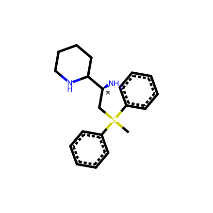 CS(C[C@H](N)C1CCCCN1)(c1ccccc1)c1ccccc1